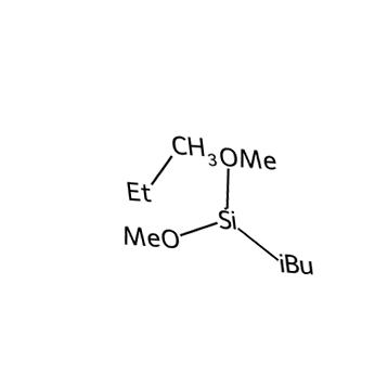 CCC.CCC(C)[Si](OC)OC